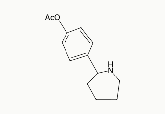 CC(=O)Oc1ccc(C2CCCCN2)cc1